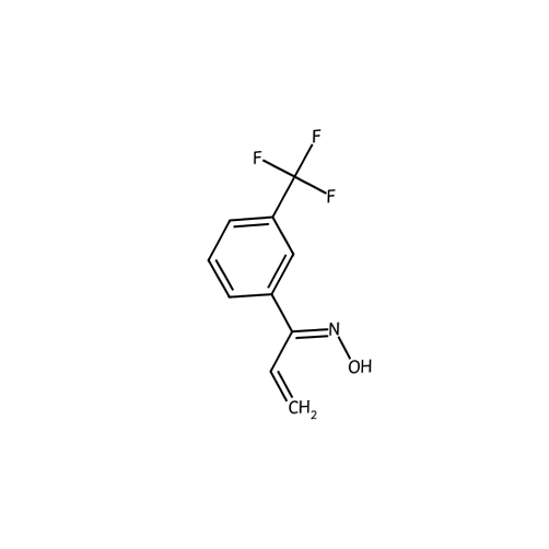 C=CC(=NO)c1cccc(C(F)(F)F)c1